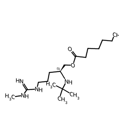 CCCCCCC(=O)OC[C@H](CCCNC(=N)NC)NC(C)(C)C